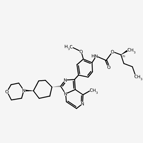 CCC[C@H](C)OC(=O)Nc1ccc(-c2nc([C@H]3CC[C@H](N4CCOCC4)CC3)n3ccnc(C)c23)cc1OC